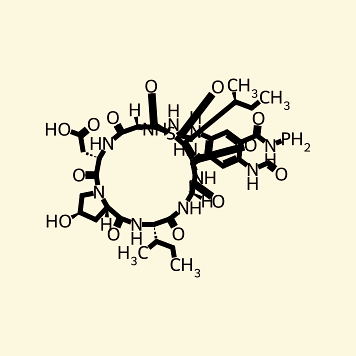 CCC(C)[C@@H]1NC(=O)[C@@H]2C[C@@H](O)CN2C(=O)[C@H](CC(=O)O)NC(=O)[C@@H]2CSc3[nH]c4cc(C(=O)NP)c(NC=O)cc4c3C[C@H](NC1=O)C(=O)NCC(=O)N[C@@H]([C@@H](C)CC)C(=O)NCC(=O)N2